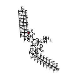 CCN(C(C)OP(=O)(O)OC(C)N(CC)S(=O)(=O)C(F)(F)C(F)(F)C(F)(F)C(F)(F)C(F)(F)C(F)(F)C(F)(F)C(F)(F)F)S(=O)(=O)C(F)(F)C(F)(F)C(F)(F)C(F)(F)C(F)(F)C(F)(F)C(F)(F)C(F)(F)F.N